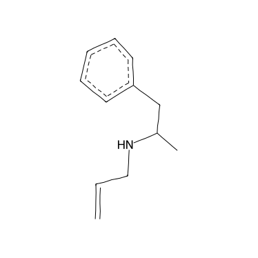 C=CCNC(C)Cc1ccccc1